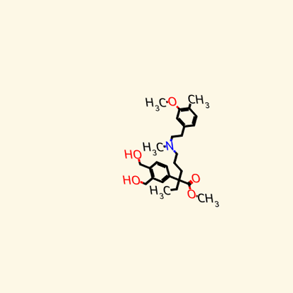 CCC(CCCN(C)CCc1ccc(C)c(OC)c1)(C(=O)OC)c1ccc(CO)c(CO)c1